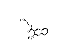 Nc1cc2ccccc2cc1C(=O)OCCO